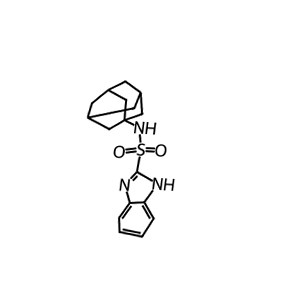 O=S(=O)(NC12CC3CC(CC(C3)C1)C2)c1nc2ccccc2[nH]1